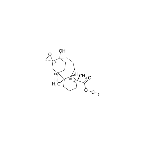 COC(=O)[C@]1(C)CCCC2(C)[C@@H]3CCC(O)(CCC[C@@H]21)[C@@]1(CO1)C3